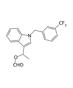 CC(OC=O)c1cn(Cc2cccc(C(F)(F)F)c2)c2ccccc12